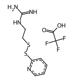 N=C(N)NCCSSc1ccccn1.O=C(O)C(F)(F)F